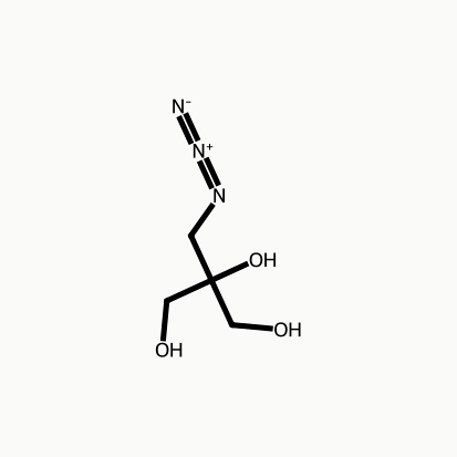 [N-]=[N+]=NCC(O)(CO)CO